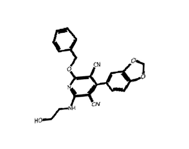 N#Cc1c(NCCO)nc(OCc2ccccc2)c(C#N)c1-c1ccc2c(c1)OCO2